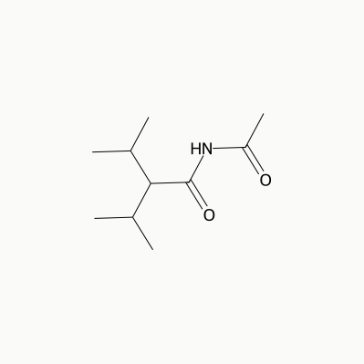 CC(=O)NC(=O)C(C(C)C)C(C)C